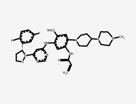 C=CC(=O)Nc1cc(Nc2cc(N3OCC[C@@H]3c3cc(F)ccc3F)ncn2)c(OC)cc1N1CCC(N2CCN(C)CC2)CC1